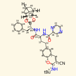 CC(C)(C)NC(=O)C(C#N)=Cc1cccc(CCC(NC(=O)c2cnccn2)C(=O)N[C@@H](Cc2ccccc2)B2O[C@@H]3C[C@@H]4C[C@@H](C4(C)C)[C@]3(C)O2)c1